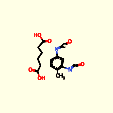 Cc1ccc(N=C=O)cc1N=C=O.O=C(O)CCCCC(=O)O